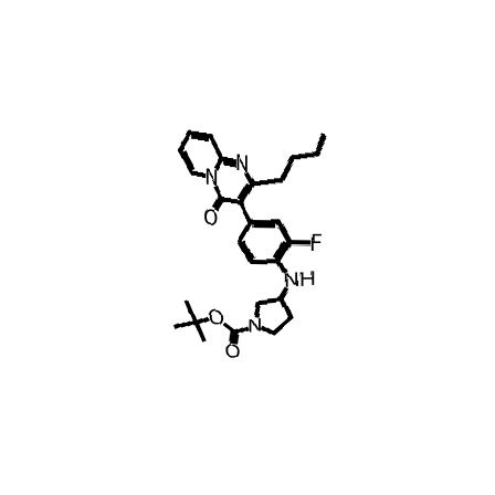 CCCCc1nc2ccccn2c(=O)c1-c1ccc(NC2CCN(C(=O)OC(C)(C)C)C2)c(F)c1